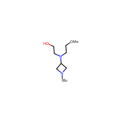 COCCN(CCO)C1CN(C(C)(C)C)C1